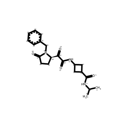 CC(C)NC(=O)C1CC(NC(=O)C(=O)[C@H]2CCC(=O)N2Cc2ccccc2)C1